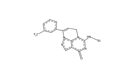 CCNc1nc(=O)c2cnn3c2n1CC=C3c1cccc(C(F)(F)F)c1